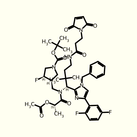 CC(=O)O[C@@H](C)C(=O)N(C[C@@H]1CN(C(=O)OC(C)(C)C)C[C@@H]1F)[C@@H](c1nc(-c2cc(F)ccc2F)cn1Cc1ccccc1)C(C)(C)CCNC(=O)CCN1C(=O)C=CC1=O